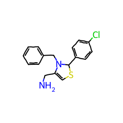 NCC1=CSC(c2ccc(Cl)cc2)N1Cc1ccccc1